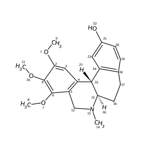 COc1cc2c(c(OC)c1OC)CN(C)[C@@H]1CCc3ccc(O)cc3[C@@H]21